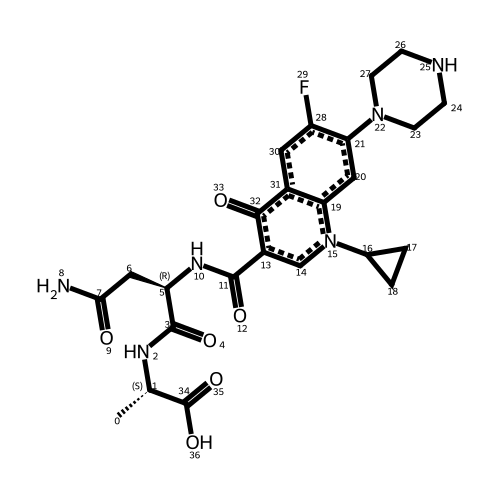 C[C@H](NC(=O)[C@@H](CC(N)=O)NC(=O)c1cn(C2CC2)c2cc(N3CCNCC3)c(F)cc2c1=O)C(=O)O